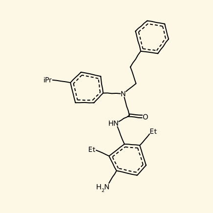 CCc1ccc(N)c(CC)c1NC(=O)N(CCc1ccccc1)c1ccc(C(C)C)cc1